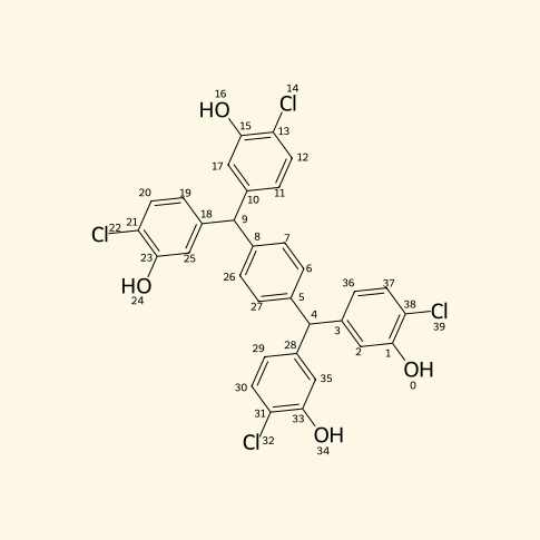 Oc1cc(C(c2ccc(C(c3ccc(Cl)c(O)c3)c3ccc(Cl)c(O)c3)cc2)c2ccc(Cl)c(O)c2)ccc1Cl